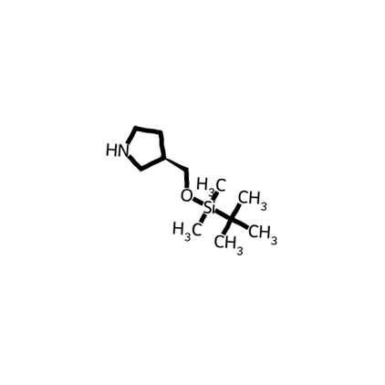 CC(C)(C)[Si](C)(C)OC[C@@H]1CCNC1